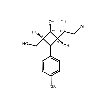 CC(C)(C)c1ccc(C2[C@@](O)([C@H](O)CO)[C@H](O)[C@@]2(O)CO)cc1